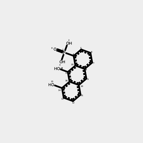 O=P(O)(O)c1cccc2cc3cccc(O)c3c(O)c12